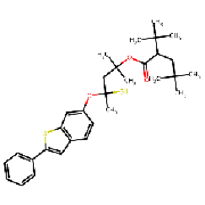 CC(C)(C)CC(C(=O)OC(C)(C)CC(C)(S)Oc1ccc2cc(-c3ccccc3)sc2c1)C(C)(C)C